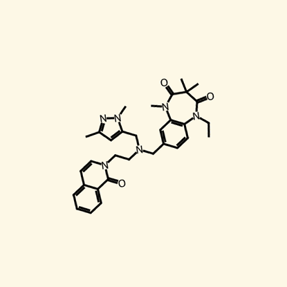 CCN1C(=O)C(C)(C)C(=O)N(C)c2cc(CN(CCn3ccc4ccccc4c3=O)Cc3cc(C)nn3C)ccc21